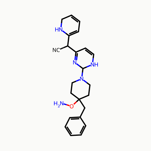 N#CC(C1=CC=CCN1)C1=NC(N2CCC(Cc3ccccc3)(ON)CC2)NC=C1